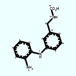 Nc1ccccc1Nc1cccc(CNC(=O)O)c1